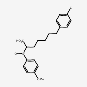 COc1ccc([S+]([O-])C(CCCCCc2ccc(Cl)cc2)C(=O)O)cc1